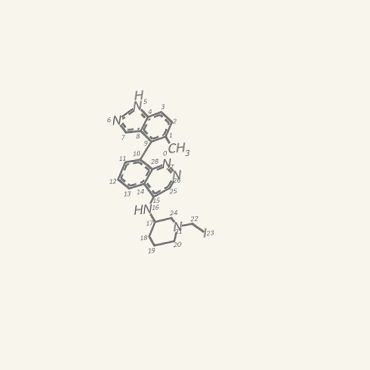 Cc1ccc2[nH]ncc2c1-c1cccc2c(NC3CCCN(CI)C3)cnnc12